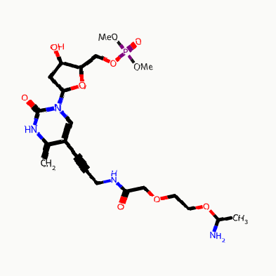 C=C1NC(=O)N(C2CC(O)C(COP(=O)(OC)OC)O2)C=C1C#CCNC(=O)COCCOC(C)N